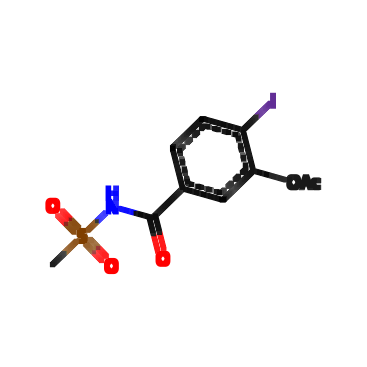 CC(=O)Oc1cc(C(=O)NS(C)(=O)=O)ccc1I